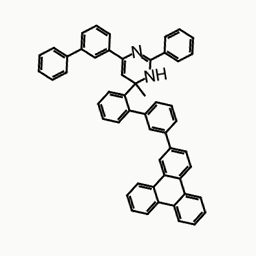 CC1(c2ccccc2-c2cccc(-c3ccc4c5ccccc5c5ccccc5c4c3)c2)C=C(c2cccc(-c3ccccc3)c2)N=C(c2ccccc2)N1